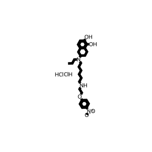 CCCN(CCCCCCNCCOc1ccc([N+](=O)[O-])cc1)C1CCc2c(ccc(O)c2O)C1.Cl.Cl